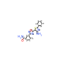 Cc1ccc(C(N)=O)cc1-c1noc(-c2sc(-c3ccccc3)nc2N)n1